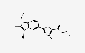 CCOC(=O)c1sc(-c2ccc3c(c2)c(C#N)c(C)n3CC)nc1C